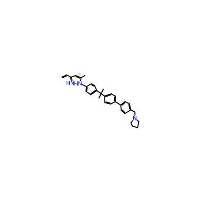 C=CC(=N)/C=C(/C)Nc1ccc(C(C)(C)c2ccc(-c3ccc(CN4CCCC4)cc3)cc2)cc1